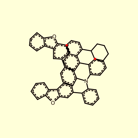 c1cc(-c2ccc3oc4ccccc4c3c2)cc(N(c2ccccc2-c2ccc3c(c2)oc2ccccc23)c2ccccc2-c2cccc3cccc(C4CCCCC4)c23)c1